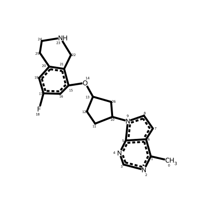 Cc1ncnc2c1ccn2C1CCC(Oc2cc(F)cc3c2CNCC3)C1